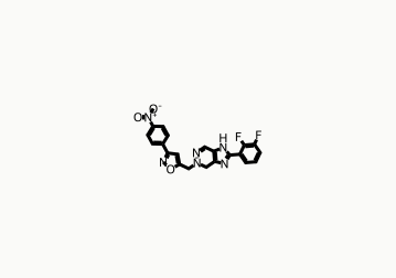 O=[N+]([O-])c1ccc(-c2cc(CN3Cc4nc(-c5cccc(F)c5F)[nH]c4C=N3)on2)cc1